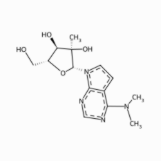 CN(C)c1ncnc2c1ccn2[C@@H]1O[C@H](CO)[C@@H](O)[C@@]1(C)O